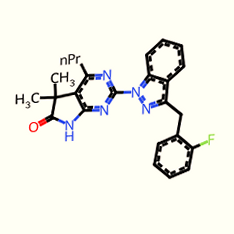 CCCc1nc(-n2nc(Cc3ccccc3F)c3ccccc32)nc2c1C(C)(C)C(=O)N2